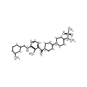 Cc1c(NCC2CCCC(C)C2)ncnc1C(=O)N1CCC(N2CCC(N(C)S(C)(=O)=O)CC2)CC1